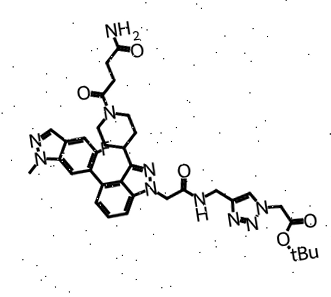 Cn1ncc2cc(F)c(-c3cccc4c3c(C3CCN(C(=O)CCC(N)=O)CC3)nn4CC(=O)NCc3cn(CC(=O)OC(C)(C)C)nn3)cc21